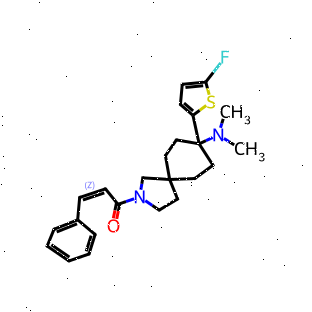 CN(C)C1(c2ccc(F)s2)CCC2(CCN(C(=O)/C=C\c3ccccc3)C2)CC1